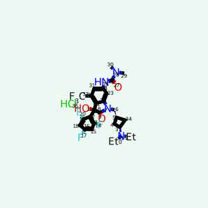 CCN(CC)[C@H]1C[C@H](CN2C(=O)C(O)(c3c(F)cc(F)cc3F)c3c2cc(NC(=O)N(C)C)cc3C(F)(F)F)C1.Cl